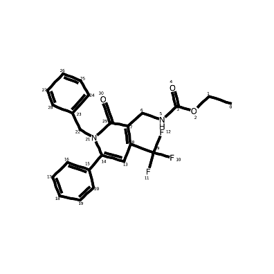 CCOC(=O)NCc1c(C(F)(F)F)cc(-c2ccccc2)n(Cc2ccccc2)c1=O